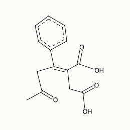 CC(=O)CC(=C(CC(=O)O)C(=O)O)c1ccccc1